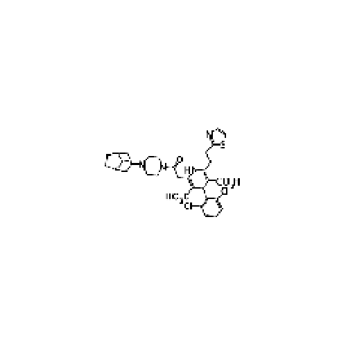 CC1C2CCC1CC(N1CCN(C(=O)CC3=C(C(=O)O)C(c4c(Cl)cccc4Cl)C(C(=O)O)=C(CCc4nccs4)N3)CC1)C2